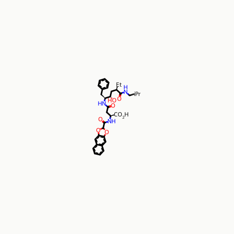 CC[C@H](C[C@H](O)[C@H](Cc1ccccc1)NC(=O)C[C@H](NC(=O)C1Oc2cc3ccccc3cc2O1)C(=O)O)C(=O)NCC(C)C